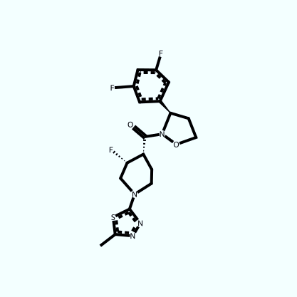 Cc1nnc(N2CC[C@@H](C(=O)N3OCC[C@@H]3c3cc(F)cc(F)c3)[C@@H](F)C2)s1